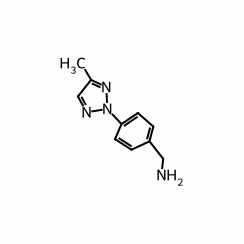 Cc1cnn(-c2ccc(CN)cc2)n1